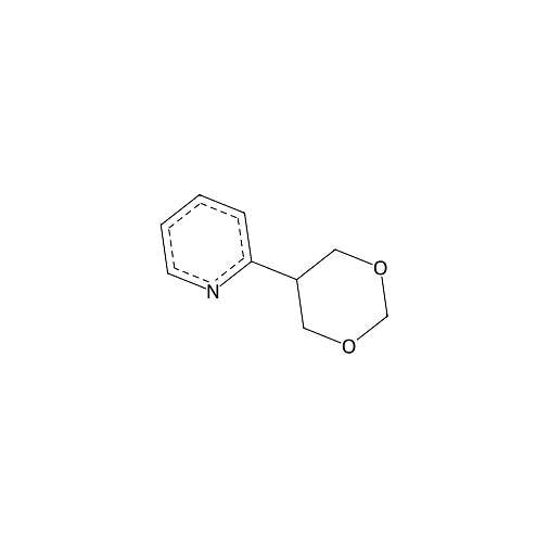 c1ccc(C2COCOC2)nc1